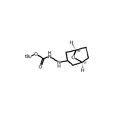 CC(C)(C)OC(=O)NNC1C[C@H]2CC[C@@H](C1)O2